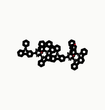 c1ccc(-c2cccc(-n3c4ccccc4c4ccc5c6ccccc6n(-c6nc(-c7ccccc7)nc(-c7ccc8c9ccccc9n(-c9cccc(-c%10cccc(-c%11ccccc%11-n%11c%12ccccc%12c%12ccc%13c%14ccccc%14n(-c%14nc(-c%15ccccc%15)nc(-c%15ccc%16c%17ccccc%17n(-c%17ccccc%17)c%16c%15)n%14)c%13c%12%11)c%10)c9)c8c7)n6)c5c43)c2)cc1